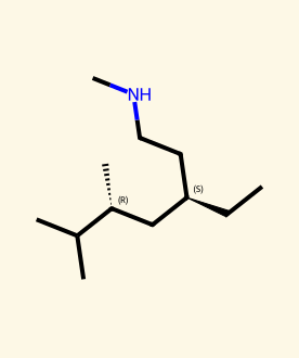 CC[C@H](CCNC)C[C@@H](C)C(C)C